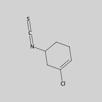 S=C=NC1CCC=C(Cl)C1